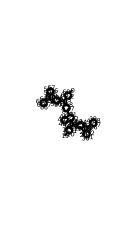 Cc1ccc(N(c2ccc(-c3ccc(N(c4ccc(C)cc4)c4ccc5c(c4)c4ccccc4n5-c4ccccc4)c4ccccc34)cc2)c2ccc3c(c2)c2ccccc2n3-c2ccccc2)cc1